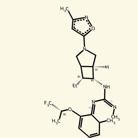 CC[C@@H]1C2CN(c3cc(C)no3)C[C@H]2[C@@H]1NC(=N/C)/N=C1/C(O[C@H](C)C(F)(F)F)=CC=CC1C